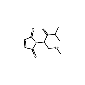 CNCC(C(=O)C(C)C)N1C(=O)C=CC1=O